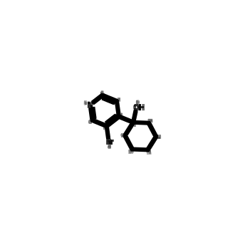 OC1(c2ccncc2Br)CCCCC1